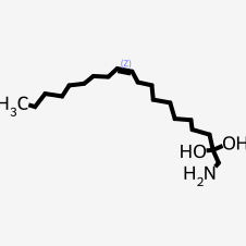 CCCCCCCC/C=C\CCCCCCCCC(O)(O)CN